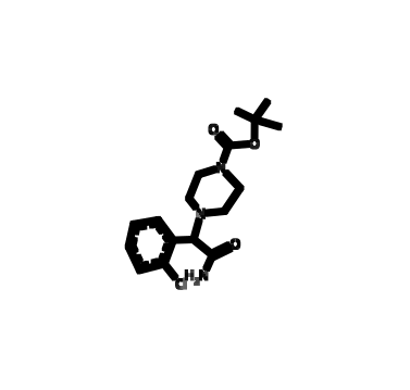 CC(C)(C)OC(=O)N1CCN(C(C(N)=O)c2ccccc2Cl)CC1